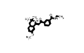 CCNC(=O)c1cccc(C(=O)C=C2NC(C)(C)Cc3ccc(OC)cc32)c1